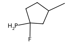 CC1CCC(F)(P)C1